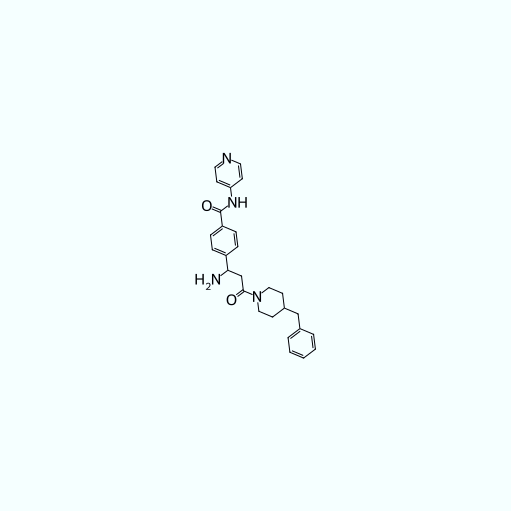 NC(CC(=O)N1CCC(Cc2ccccc2)CC1)c1ccc(C(=O)Nc2ccncc2)cc1